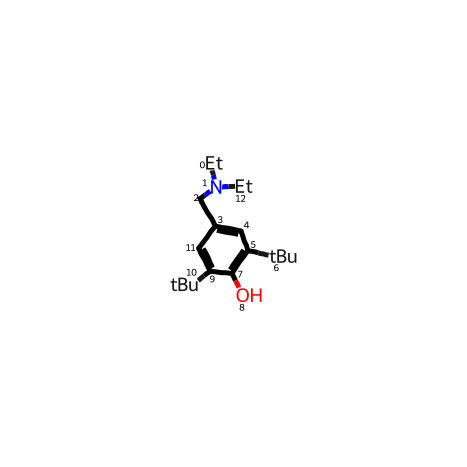 CCN([CH]c1cc(C(C)(C)C)c(O)c(C(C)(C)C)c1)CC